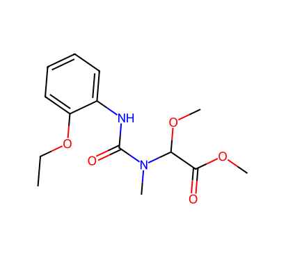 CCOc1ccccc1NC(=O)N(C)C(OC)C(=O)OC